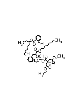 CCCCCC(CC)OC(=O)c1ccccc1O.CCCCCCCCOC(=O)C(=Cc1ccccc1)OC.CCOC(=O)CC(O)(CC(=O)OCC)C(=O)OCC